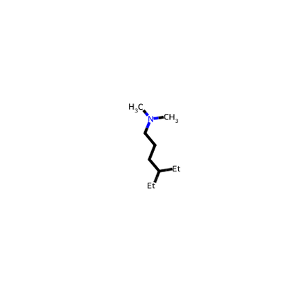 [CH2]CC(CC)CCCN(C)C